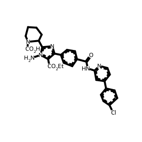 CCOC(=O)c1c(-c2ccc(C(=O)Nc3cc(-c4ccc(Cl)cc4)ccn3)cc2)nc(C2CCCCN2C(=O)O)n1N